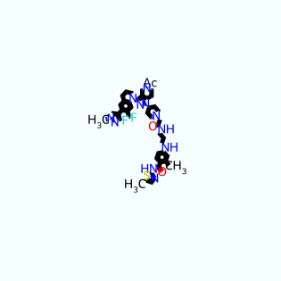 CC(=O)N1CCc2c(c(N3CCCc4cc(-c5cnn(C)c5)c(C(F)F)cc43)nn2C2CCN(CC(=O)NCCCNc3ccc(C(=O)Nc4ncc(C)s4)c(C)c3)CC2)C1